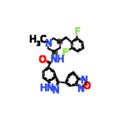 CN1C[C@@H](Cc2c(F)cccc2F)C[C@@H](NC(=O)c2ccc3[nH]nc(-c4ccc5nonc5c4)c3c2)C1